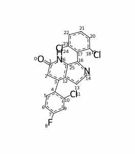 O=c1cc(-c2ccc(F)cc2Cl)c2ccnc(-c3c(Cl)cccc3Cl)c2[nH]1